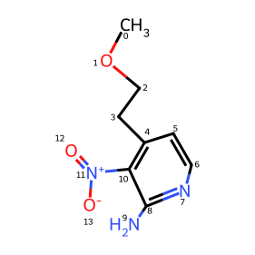 COCCc1ccnc(N)c1[N+](=O)[O-]